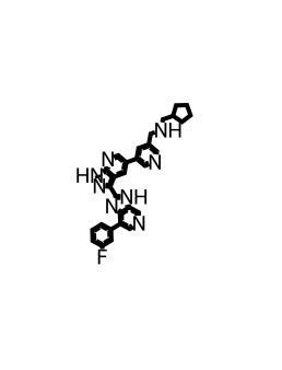 Fc1cccc(-c2cncc3[nH]c(-c4n[nH]c5ncc(-c6cncc(CNCC7CCCC7)c6)cc45)nc23)c1